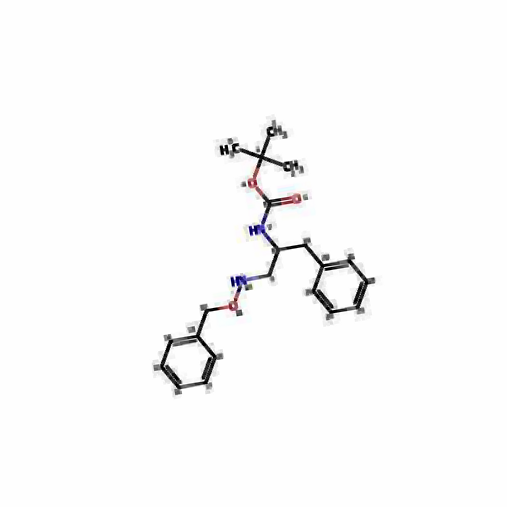 CC(C)(C)OC(=O)NC(CNOCc1ccccc1)Cc1ccccc1